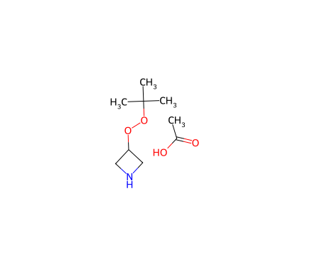 CC(=O)O.CC(C)(C)OOC1CNC1